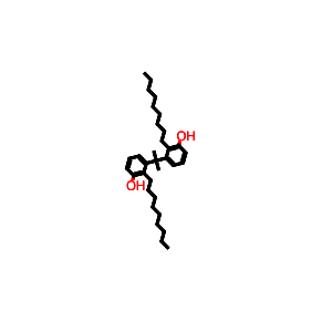 CCCCCCCCCc1c(O)cccc1C(C)(C)c1cccc(O)c1CCCCCCCCC